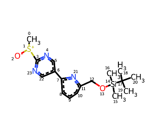 C[S+]([O-])c1ncc(-c2cccc(CO[Si](C)(C)C(C)(C)C)n2)cn1